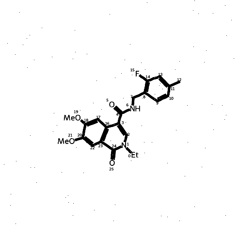 CCn1cc(C(=O)NCc2ccc(C)cc2F)c2cc(OC)c(OC)cc2c1=O